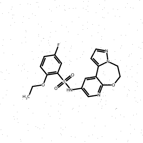 CCOc1ccc(F)cc1S(=O)(=O)Nc1cnc2c(c1)-c1ccnn1CCO2